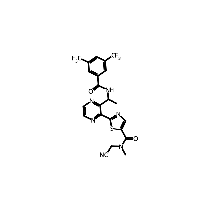 CC(NC(=O)c1cc(C(F)(F)F)cc(C(F)(F)F)c1)c1nccnc1-c1ncc(C(=O)N(C)CC#N)s1